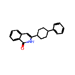 O=c1[nH]c(C2CCC(c3ccccc3)CC2)cc2ccccc12